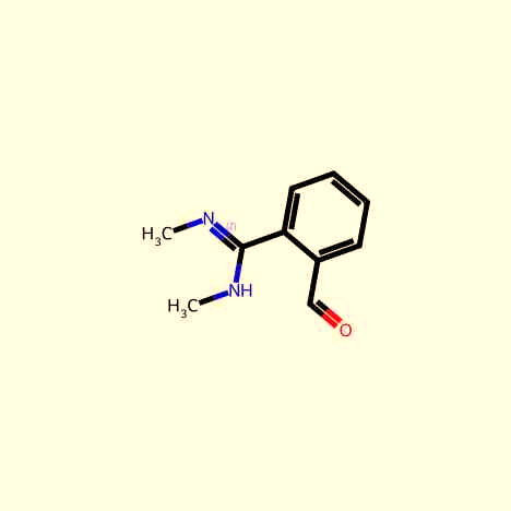 C/N=C(\NC)c1ccccc1C=O